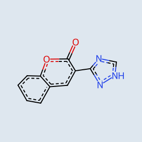 O=c1oc2ccccc2cc1-c1nc[nH]n1